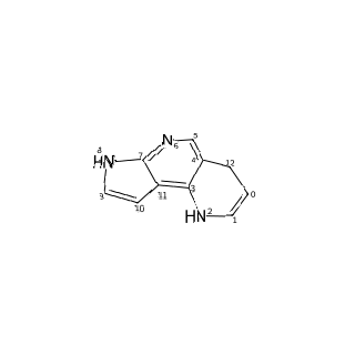 C1=CNc2c(cnc3[nH]ccc23)C1